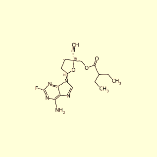 C#C[C@@]1(COC(=O)C(CC)CC)[CH]C[C@H](n2cnc3c(N)nc(F)nc32)O1